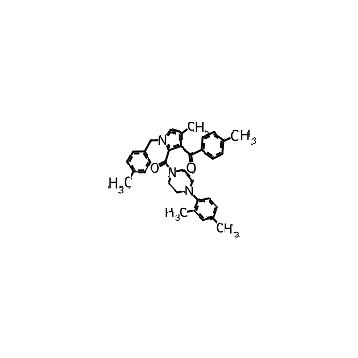 Cc1ccc(Cn2cc(C)c(C(=O)c3ccc(C)cc3)c2C(=O)N2CCN(c3ccc(C)cc3C)CC2)cc1